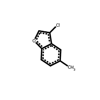 Cc1ccc2occ(Cl)c2c1